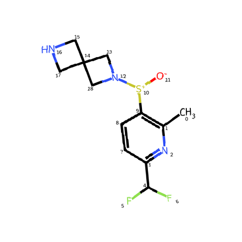 Cc1nc(C(F)F)ccc1[S+]([O-])N1CC2(CNC2)C1